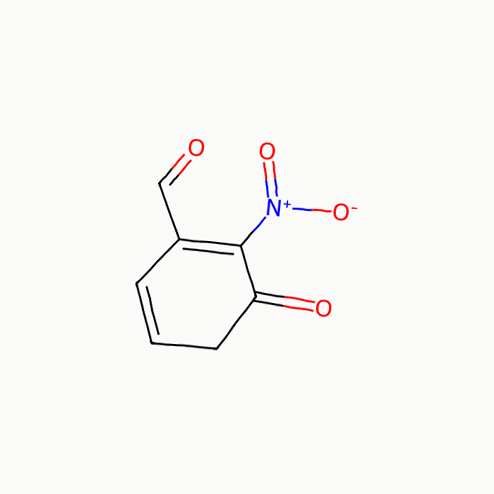 O=CC1=C([N+](=O)[O-])C(=O)CC=C1